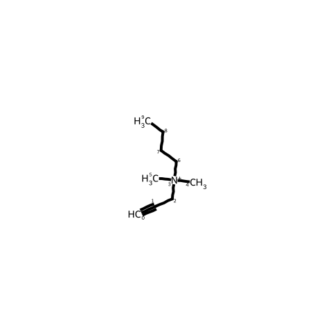 C#CC[N+](C)(C)CCCC